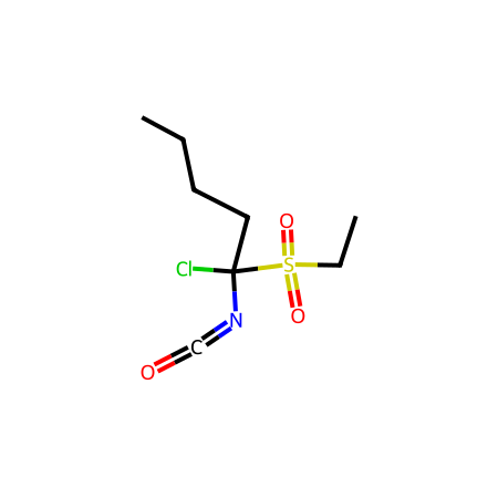 CCCCC(Cl)(N=C=O)S(=O)(=O)CC